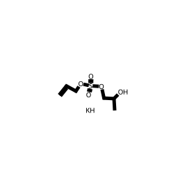 C=CCOS(=O)(=O)OCC(C)O.[KH]